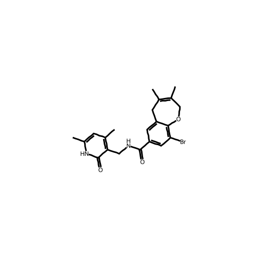 CC1=C(C)Cc2cc(C(=O)NCc3c(C)cc(C)[nH]c3=O)cc(Br)c2OC1